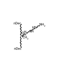 CCCCCCCCCCCCCCCCCCN(CCCCCCCCCCCCCCCCCC)[C@@H](C)C(=O)NCCCNCCCCNCCCN